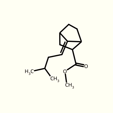 COC(=O)C1CC2CCC1C2=CCC(C)C